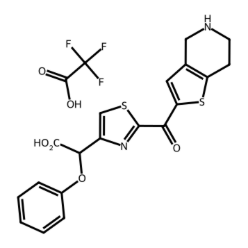 O=C(O)C(F)(F)F.O=C(c1cc2c(s1)CCNC2)c1nc(C(Oc2ccccc2)C(=O)O)cs1